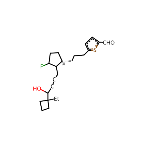 CCC1(C(O)CCCC2C(F)CC[C@@H]2CCCc2ccc(C=O)s2)CCC1